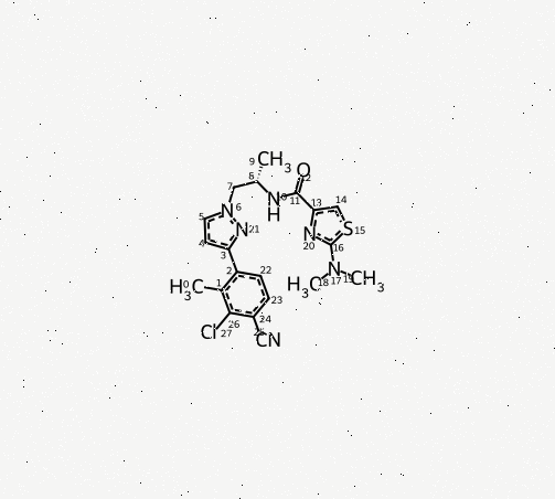 Cc1c(-c2ccn(C[C@H](C)NC(=O)c3csc(N(C)C)n3)n2)ccc(C#N)c1Cl